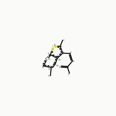 C=C(C)/C=C\c1c(C)sc2ccc(C)cc12